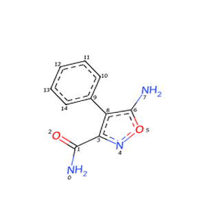 NC(=O)c1noc(N)c1-c1ccccc1